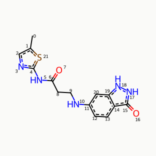 Cc1cnc(NC(=O)CCNc2ccc3c(=O)[nH][nH]c3c2)s1